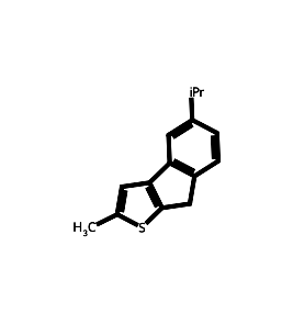 Cc1cc2c(s1)Cc1ccc(C(C)C)cc1-2